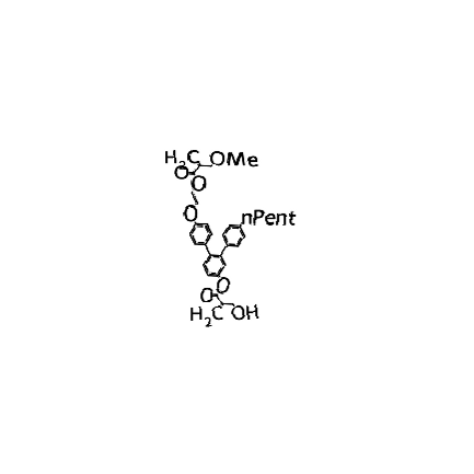 C=C(COC)C(=O)OCCOc1ccc(-c2ccc(OC(=O)C(=C)CO)cc2-c2ccc(CCCCC)cc2)cc1